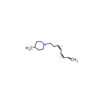 C=C/C=C\C=C/CCN1CCC(C)CC1